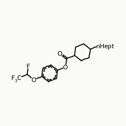 CCCCCCCC1CCC(C(=O)Oc2ccc(OC(F)C(F)(F)F)cc2)CC1